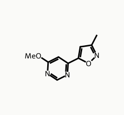 COc1cc(-c2cc(C)no2)ncn1